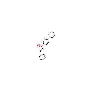 O=C(C=Cc1ccccc1)c1ccc(C2CCCCC2)cc1